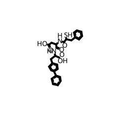 O=C(O)CC(NC(=O)C(S)Cc1ccccc1)C(=O)NC(Cc1ccc(-c2ccccc2)cc1)C(=O)O